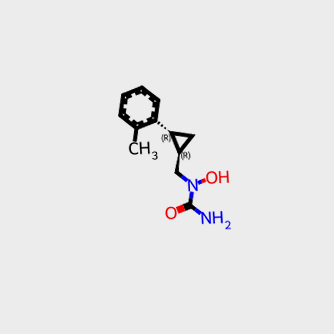 Cc1ccccc1[C@@H]1C[C@H]1CN(O)C(N)=O